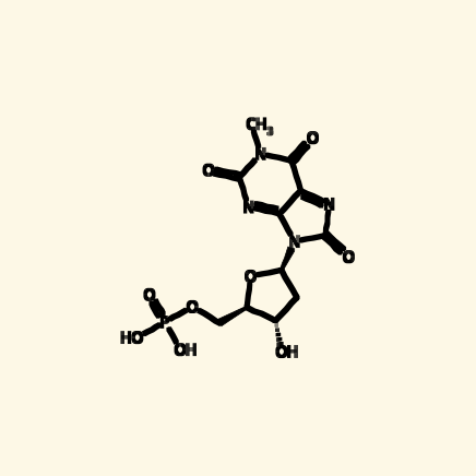 CN1C(=O)N=C2C(=NC(=O)N2[C@H]2C[C@H](O)[C@@H](COP(=O)(O)O)O2)C1=O